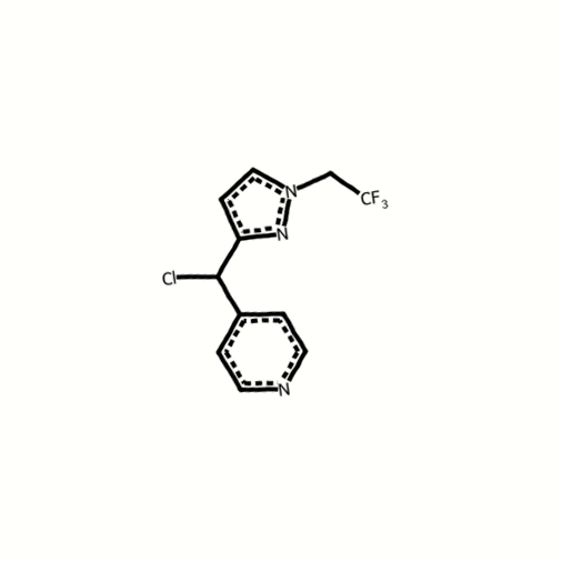 FC(F)(F)Cn1ccc(C(Cl)c2ccncc2)n1